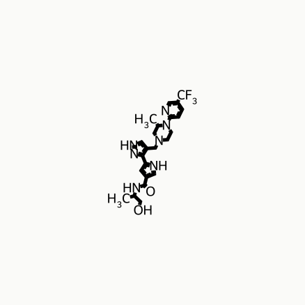 CC(CO)NC(=O)c1c[nH]c(-c2n[nH]cc2CN2CCN(c3ccc(C(F)(F)F)cn3)C(C)C2)c1